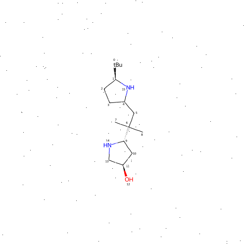 CC(C)(C)[C@@H]1CCC(CC(C)(C)[C@@H]2C[C@@H](O)CN2)N1